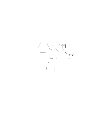 COC(=O)c1ccccc1-c1cnn(C(F)F)c1